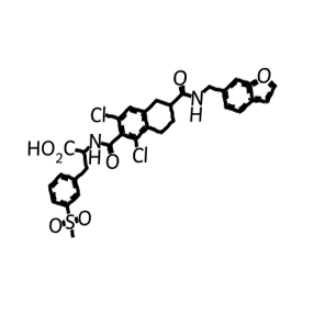 CS(=O)(=O)c1cccc(CC(NC(=O)c2c(Cl)cc3c(c2Cl)CCC(C(=O)NCc2ccc4ccoc4c2)C3)C(=O)O)c1